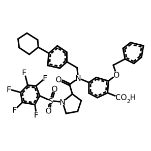 O=C(O)c1ccc(N(Cc2ccc(C3CCCCC3)cc2)C(=O)C2CCCN2S(=O)(=O)c2c(F)c(F)c(F)c(F)c2F)cc1OCc1ccccc1